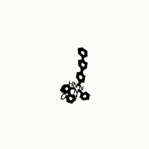 c1ccc(C2=NC(c3ccc(-c4ccc(-c5ccccc5)cc4)cc3)NC(c3cccc4oc5ccccc5c34)N2)cc1